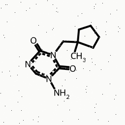 CC1(Cn2c(=O)ncn(N)c2=O)CCCC1